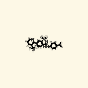 CC(C)c1ccc(NC2=NS(=O)(=O)c3cc(-c4ncccc4C(F)(F)F)ccc32)cc1